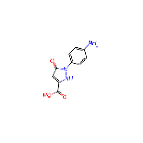 Nc1ccc(-n2[nH]c(C(=O)O)cc2=O)cc1